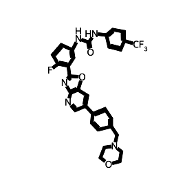 O=C(Nc1ccc(C(F)(F)F)cc1)Nc1ccc(F)c(-c2nc3ncc(-c4ccc(CN5CCOCC5)cc4)cc3o2)c1